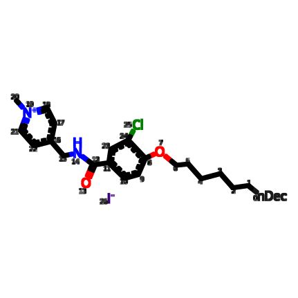 CCCCCCCCCCCCCCCCOc1ccc(C(=O)NCc2cc[n+](C)cc2)cc1Cl.[I-]